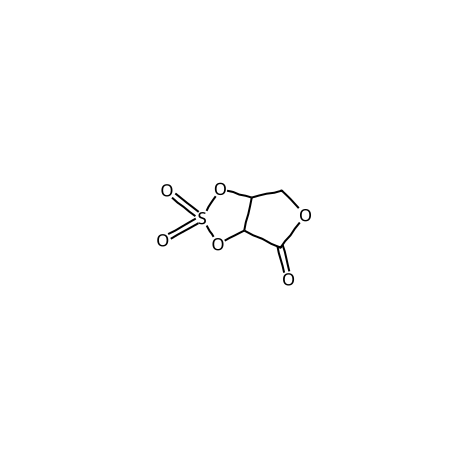 O=C1OCC2OS(=O)(=O)OC12